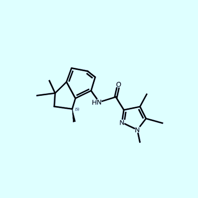 Cc1c(C(=O)Nc2cccc3c2[C@@H](C)CC3(C)C)nn(C)c1C